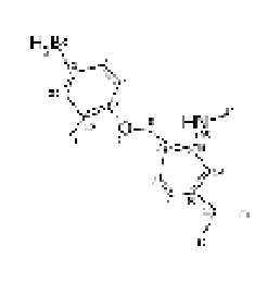 Bc1ccc(OCc2ccc(C(C)C)cc2NC)c(C)c1